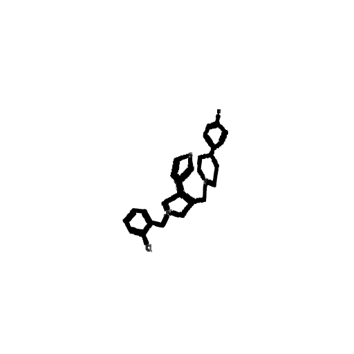 Fc1ccc(C2CCN(CC3CN(Cc4ccccc4Cl)CC3c3ccsc3)CC2)cc1